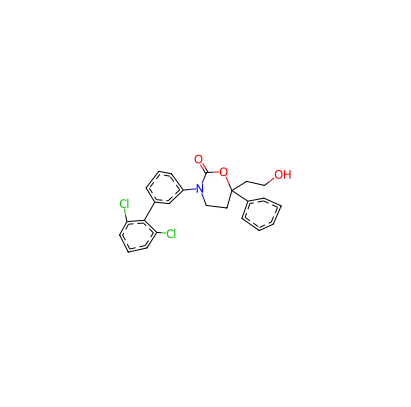 O=C1OC(CCO)(c2ccccc2)CCN1c1cccc(-c2c(Cl)cccc2Cl)c1